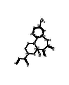 C=CC(=O)N1CCN2c3ncc(C(F)(F)F)cc3NC(=O)C(=C)[C@@H]2C1